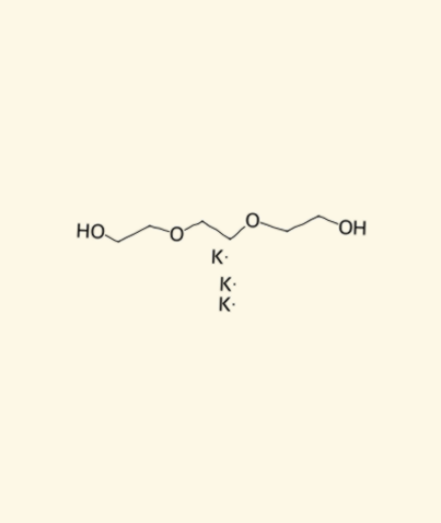 OCCOCCOCCO.[K].[K].[K]